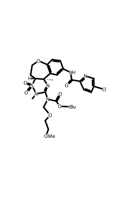 COCCOCN(C(=O)OC(C)(C)C)C1=N[C@]2(C)c3cc(NC(=O)c4ccc(Cl)cn4)ccc3OCC[C@H]2S(=O)(=O)N1C